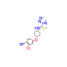 C=S=C(N[C@H]1CC[C@H](Oc2ccc(C#N)c(OC)c2)CC1)C(/N=N\C)=N/C